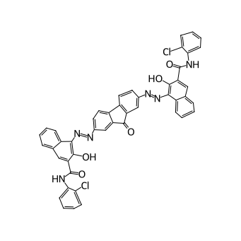 O=C1c2cc(N=Nc3c(O)c(C(=O)Nc4ccccc4Cl)cc4ccccc34)ccc2-c2ccc(N=Nc3c(O)c(C(=O)Nc4ccccc4Cl)cc4ccccc34)cc21